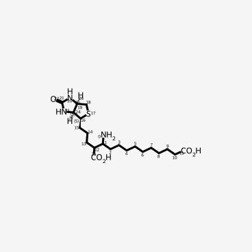 NC(CCCCCCCCCC(=O)O)C(CCC[C@@H]1SC[C@@H]2NC(=O)N[C@@H]21)C(=O)O